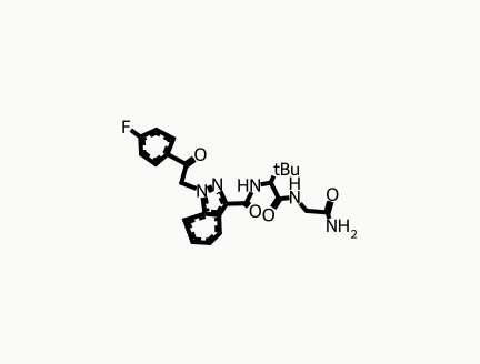 CC(C)(C)C(NC(=O)c1nn(CC(=O)c2ccc(F)cc2)c2ccccc12)C(=O)NCC(N)=O